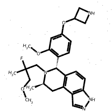 COCC(C)(F)CN1[C@H](c2ccc(OC3CNC3)cc2OC)c2ccc3[nH]ncc3c2C[C@H]1C